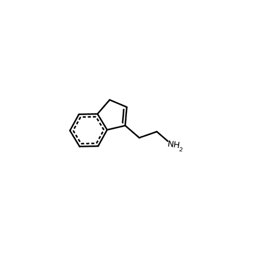 NCCC1=CCc2ccccc21